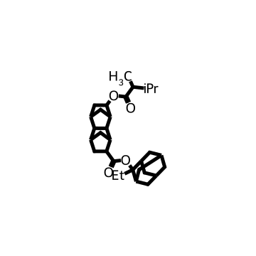 CCC1(OC(=O)C2CC3CC2C2C4CC(CC4OC(=O)C(C)C(C)C)C32)C2CC3CC(C2)CC1C3